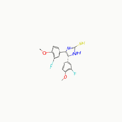 COc1ccc(-c2nc(S)[nH]c2-c2ccc(OC)c(F)c2)cc1F